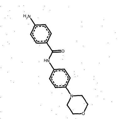 Nc1ccc(C(=O)Nc2ccc(N3CCOCC3)cc2)cc1